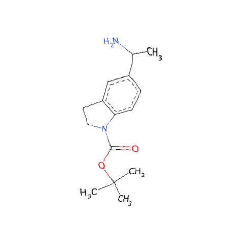 CC(N)c1ccc2c(c1)CCN2C(=O)OC(C)(C)C